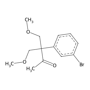 COCC(COC)(C(C)=O)c1cccc(Br)c1